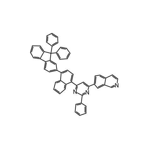 c1ccc(-c2nc(-c3ccc4ccncc4c3)cc(-c3ccc(-c4ccc5c(c4)C(c4ccccc4)(c4ccccc4)c4ccccc4-5)c4ccccc34)n2)cc1